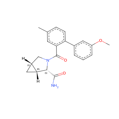 COc1cccc(-c2ccc(C)cc2C(=O)N2C[C@H]3C[C@H]3[C@H]2C(N)=O)c1